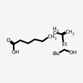 C=C(C)CC.CCC(C)CO.CCCCCC(=O)O